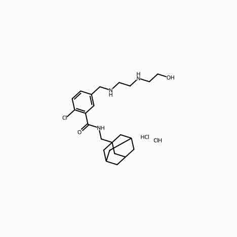 Cl.Cl.O=C(NCC12CC3CC(CC(C3)C1)C2)c1cc(CNCCNCCO)ccc1Cl